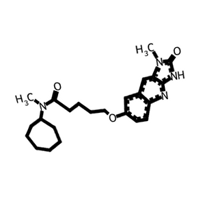 CN(C(=O)CCCCOc1ccc2nc3[nH]c(=O)n(C)c3cc2c1)C1CCCCCC1